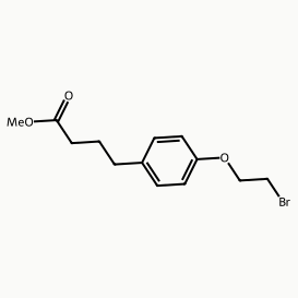 COC(=O)CCCc1ccc(OCCBr)cc1